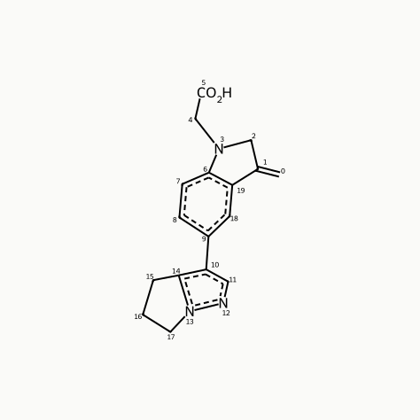 C=C1CN(CC(=O)O)c2ccc(-c3cnn4c3CCC4)cc21